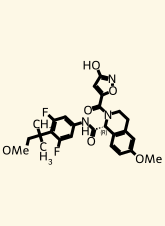 COCC(C)(C)c1c(F)cc(NC(=O)[C@H]2c3ccc(OC)cc3CCN2C(=O)c2cc(O)no2)cc1F